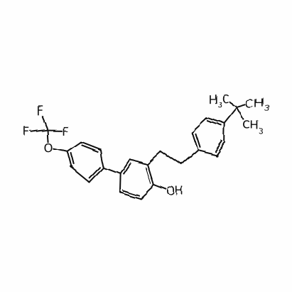 CC(C)(C)c1ccc(CCc2cc(-c3ccc(OC(F)(F)F)cc3)ccc2O)cc1